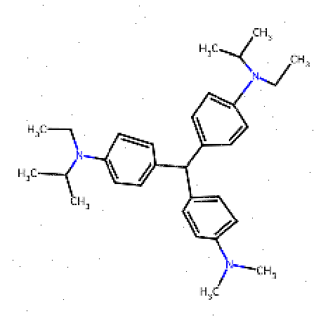 CCN(c1ccc(C(c2ccc(N(C)C)cc2)c2ccc(N(CC)C(C)C)cc2)cc1)C(C)C